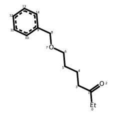 CCC(=O)CCCCOCc1ccccc1